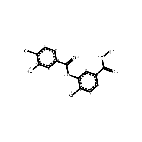 CC(C)OC(=O)c1ccc(Cl)c(OC(=O)c2ccc(Cl)c(O)c2)c1